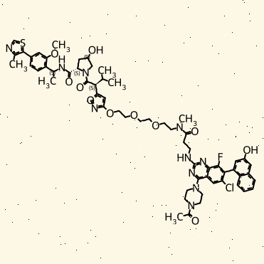 COc1cc(-c2scnc2C)ccc1[C@H](C)NC(=O)[C@@H]1C[C@@H](O)CN1C(=O)[C@H](c1cc(OCCOCCOCCN(C)C(=O)CCNc2nc(N3CCN(C(C)=O)CC3)c3cc(Cl)c(-c4cc(O)cc5ccccc45)c(F)c3n2)no1)C(C)C